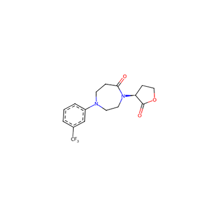 O=C1OCC[C@@H]1N1CCN(c2cccc(C(F)(F)F)c2)CCC1=O